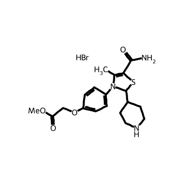 Br.COC(=O)COc1ccc(N2C(C)=C(C(N)=O)SC2C2CCNCC2)cc1